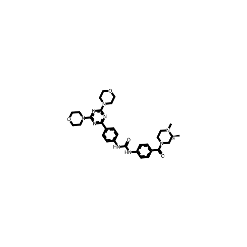 C[C@H]1CN(C(=O)c2ccc(NC(=O)Nc3ccc(-c4nc(N5CCOCC5)nc(N5CCOCC5)n4)cc3)cc2)CCN1C